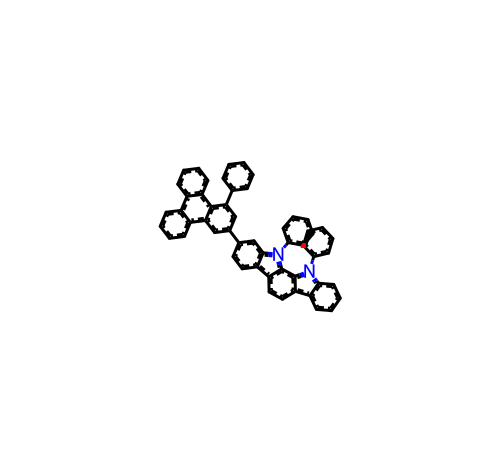 c1ccc(-c2cc(-c3ccc4c5ccc6c7ccccc7n(-c7ccccc7)c6c5n(-c5ccccc5)c4c3)cc3c4ccccc4c4ccccc4c23)cc1